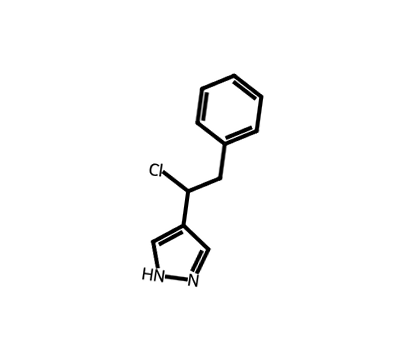 ClC(Cc1ccccc1)c1cn[nH]c1